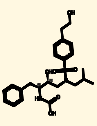 CC(C)CN(C[C@@H](O)[C@H](Cc1ccccc1)NC(=O)O)S(=O)(=O)c1ccc(CCO)cc1